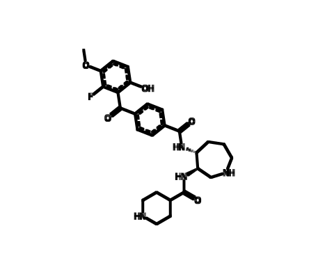 COc1ccc(O)c(C(=O)c2ccc(C(=O)N[C@@H]3CCCNC[C@H]3NC(=O)C3CCNCC3)cc2)c1F